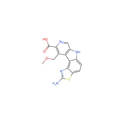 COCc1c(C(=O)O)ncc2[nH]c3ccc4sc(N)nc4c3c12